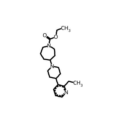 CCOC(=O)N1CCCC(N2CCC(c3cccnc3CC)CC2)CC1